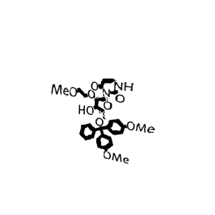 COCCO[C@H]1C(O)[C@@H](COC(c2ccccc2)(c2ccc(OC)cc2)c2ccc(OC)cc2)O[C@H]1n1c(=O)cc[nH]c1=O